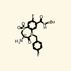 CCCCNC(=O)c1cc2c(cc1F)S(=O)(=O)C[C@H](N)C(=O)N2Cc1ccc(F)cc1